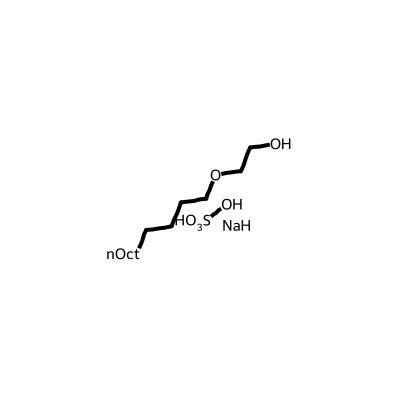 CCCCCCCCCCCCOCCO.O=S(=O)(O)O.[NaH]